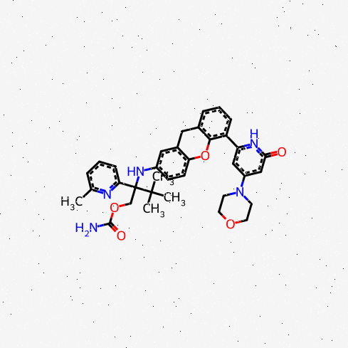 Cc1cccc(C(COC(N)=O)(Nc2ccc3c(c2)Cc2cccc(-c4cc(N5CCOCC5)cc(=O)[nH]4)c2O3)C(C)(C)C)n1